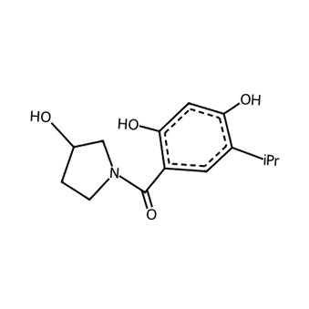 CC(C)c1cc(C(=O)N2CCC(O)C2)c(O)cc1O